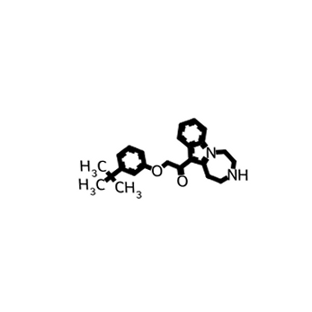 CC(C)(C)c1cccc(OCC(=O)c2c3n(c4ccccc24)CCNCC3)c1